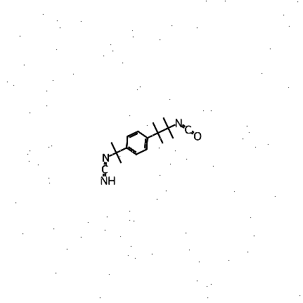 CC(C)(N=C=N)c1ccc(C(C)(C)C(C)(C)N=C=O)cc1